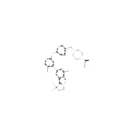 CC1(C)CCn2nc3c(F)cc(-c4cc(Nc5ccc(CN6CCN(C(=O)CO)CC6)cn5)ncc4F)cc3c21